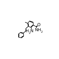 Cc1ccc(C(N)=O)c(N)c1CCc1ccccc1